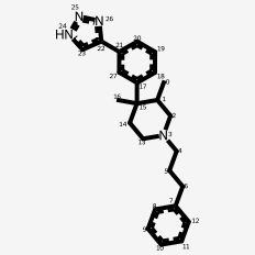 CC1CN(CCCc2ccccc2)CCC1(C)c1cccc(-c2c[nH]nn2)c1